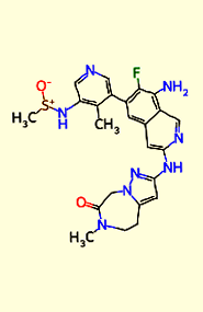 Cc1c(N[S+](C)[O-])cncc1-c1cc2cc(Nc3cc4n(n3)CC(=O)N(C)CC4)ncc2c(N)c1F